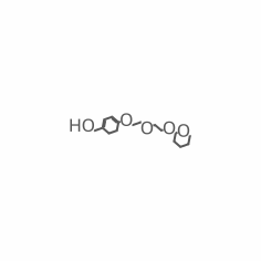 OCC1=CC=C(OCCOCCOC2CCCCO2)CC1